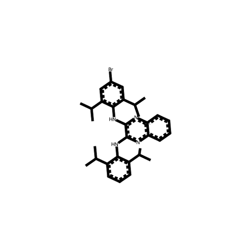 CC(C)c1cccc(C(C)C)c1Nc1nc2ccccc2nc1Nc1c(C(C)C)cc(Br)cc1C(C)C